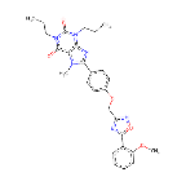 CCCn1c(=O)c2c(nc(-c3ccc(OCc4noc(-c5ccccc5OC)n4)cc3)n2C)n(CCC)c1=O